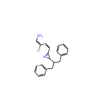 N/C=C(Cl)\C=C/C1=NC1C(Cc1ccccc1)Cc1ccccc1